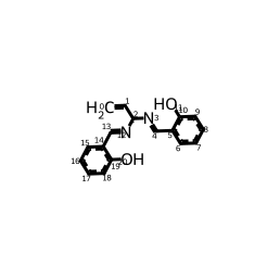 C=C[C](/N=C/c1ccccc1O)/N=C/c1ccccc1O